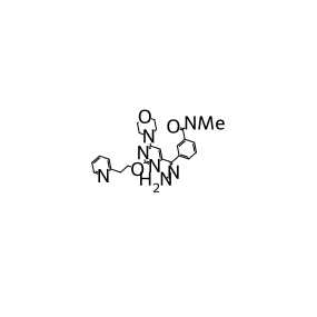 CNC(=O)c1cccc(C(=NN)c2cc(N3CCOCC3)nc(OCCc3ccccn3)n2)c1